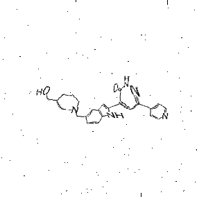 O=c1[nH]nc(-c2ccncc2)cc1-c1cc2cc(CN3CCCC(CO)C3)ccc2[nH]1